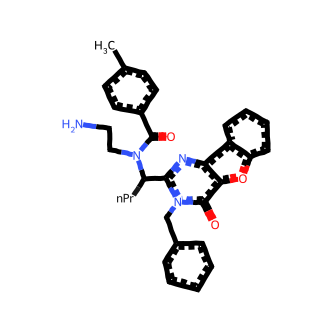 CCCC(c1nc2c(oc3ccccc32)c(=O)n1Cc1ccccc1)N(CCN)C(=O)c1ccc(C)cc1